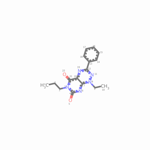 CCCn1c(=O)nc2n(CC)nc(-c3ccccc3)nc-2c1=O